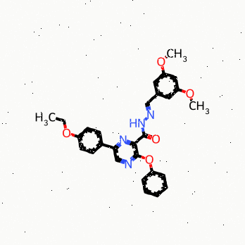 CCOc1ccc(-c2cnc(Oc3ccccc3)c(C(=O)N/N=C/c3cc(OC)cc(OC)c3)n2)cc1